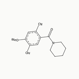 COc1cc(C#N)c(C(=O)N2CCCCC2)cc1O